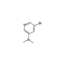 CN(C)c1cncc(Br)c1